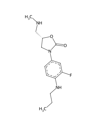 CCCNc1ccc(N2C[C@H](CNC)OC2=O)cc1F